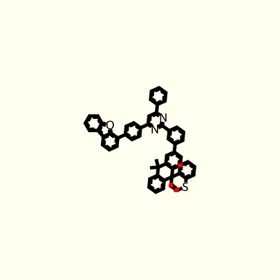 CC1(C)c2ccccc2C2(c3ccccc3Sc3ccccc32)c2ccc(-c3cccc(-c4nc(-c5ccccc5)cc(-c5ccc(-c6cccc7c6oc6ccccc67)cc5)n4)c3)cc21